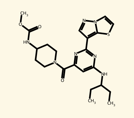 CCC(CC)Nc1cc(C(=O)N2CCC(NC(=O)OC)CC2)nc(-c2cnn3ccsc23)n1